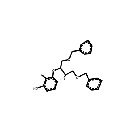 Oc1cccc(OC(COCc2ccccc2)C(O)COCc2ccccc2)c1F